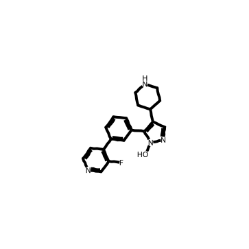 On1ncc(C2CCNCC2)c1-c1cccc(-c2ccncc2F)c1